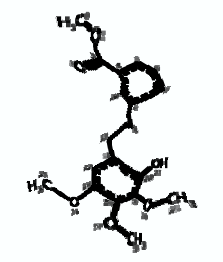 COC(=O)c1cccc(CCc2cc(OC)c(OC)c(OC)c2O)c1